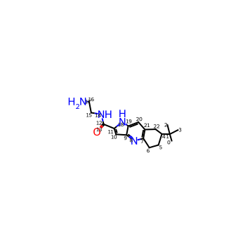 CC(C)(C)C1CCc2nc3cc(C(=O)NCCN)[nH]c3cc2C1